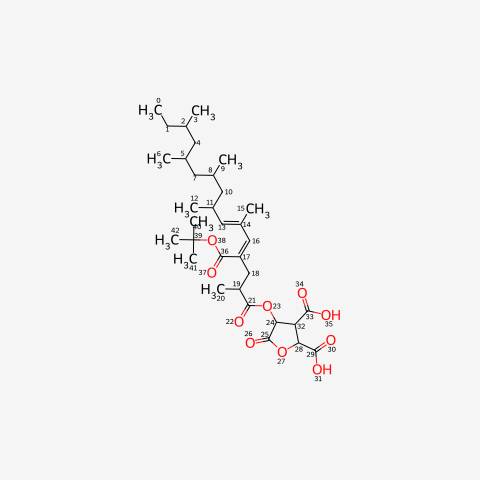 CCC(C)CC(C)CC(C)CC(C)C=C(C)C=C(CC(C)C(=O)OC1C(=O)OC(C(=O)O)C1C(=O)O)C(=O)OC(C)(C)C